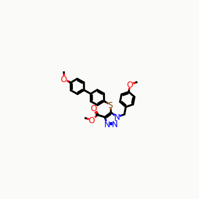 COC(=O)c1nnn(Cc2ccc(OC)cc2)c1Sc1ccc(-c2ccc(OC)cc2)cc1